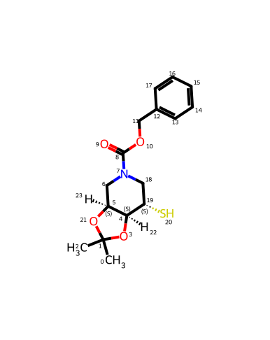 CC1(C)O[C@H]2[C@H](CN(C(=O)OCc3ccccc3)C[C@@H]2S)O1